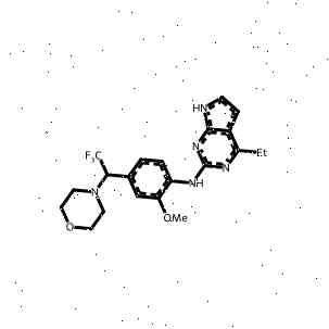 CCc1nc(Nc2ccc(C(N3CCOCC3)C(F)(F)F)cc2OC)nc2[nH]ccc12